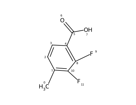 Cc1ccc(C(=O)O)c(F)c1F